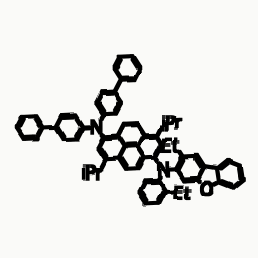 CCc1ccccc1N(c1cc2oc3ccccc3c2cc1CC)c1cc(C(C)C)c2ccc3c(N(c4ccc(-c5ccccc5)cc4)c4ccc(-c5ccccc5)cc4)cc(C(C)C)c4ccc1c2c43